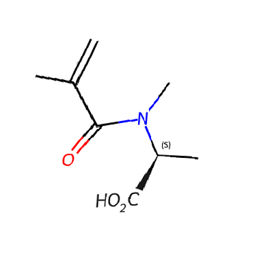 C=C(C)C(=O)N(C)[C@@H](C)C(=O)O